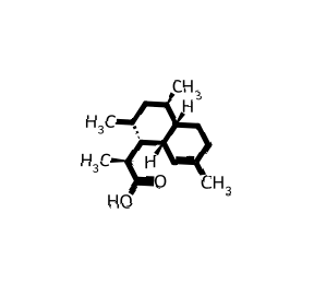 CC1=C[C@H]2[C@@H](CC1)[C@H](C)CC(C)[C@H]2[C@H](C)C(=O)O